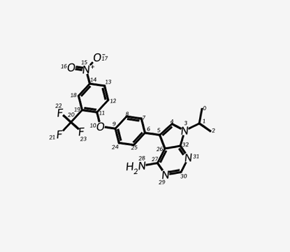 CC(C)n1cc(-c2ccc(Oc3ccc([N+](=O)[O-])cc3C(F)(F)F)cc2)c2c(N)ncnc21